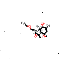 [2H]C1=C[C@]2(CO2)[C@@H](C2(C)O[C@@H]2CCOCC(F)(F)F)[C@]([2H])(OC)[C@@H]1O